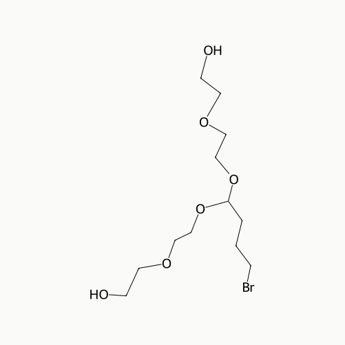 OCCOCCOC(CCCBr)OCCOCCO